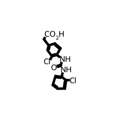 O=C(O)Cc1ccc(NC(=O)Nc2ccccc2Cl)c(Cl)c1